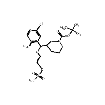 Cc1ccc(Cl)cc1C(OCCOS(C)(=O)=O)C1CCCN(C(=O)OC(C)(C)C)C1